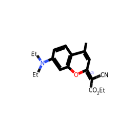 CCOC(=O)/C(C#N)=C1/C=C(C)c2ccc(N(CC)CC)cc2O1